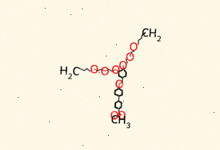 C=CCCCOCCOCCOc1ccc(COc2ccc(-c3ccc(C(=O)OC)cc3)cc2)cc1OCCOCCOCCCC=C